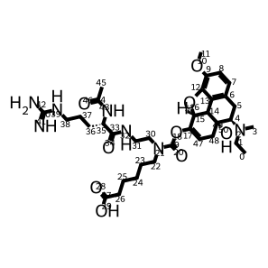 CCN(C)[C@@H]1Cc2ccc(OC)c3c2C2[C@@H](O3)C(OC(=O)N(CCCCCC(=O)O)CCNC(=O)[C@H](CCCNC(=N)N)NC(C)=O)=CC[C@]21O